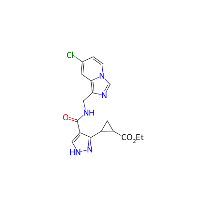 CCOC(=O)C1CC1c1n[nH]cc1C(=O)NCc1ncn2ccc(Cl)cc12